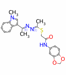 C/C(=N\N=C(/C)c1cn(C)c2ccccc12)SCC(=O)Nc1ccc2c(c1)OCO2